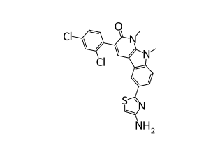 Cn1c(=O)c(-c2ccc(Cl)cc2Cl)cc2c3cc(-c4nc(N)cs4)ccc3n(C)c21